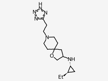 CC[C@@H]1C[C@H]1NC1COC2(CCN(CCc3nn[nH]n3)CC2)C1